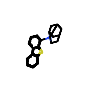 c1ccc2c(c1)sc1c(N3C4CC5CC(C4)CC3C5)cccc12